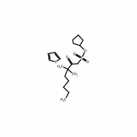 CCCCCC(C)(C)C(=O)CS(=O)(=O)OC1CCCC1.c1ccsc1